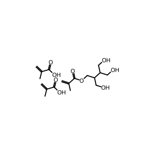 C=C(C)C(=O)O.C=C(C)C(=O)O.C=C(C)C(=O)OCC(CO)C(CO)CO